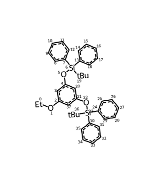 CCOc1cc(O[Si](c2ccccc2)(c2ccccc2)C(C)(C)C)cc(O[Si](c2ccccc2)(c2ccccc2)C(C)(C)C)c1